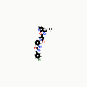 O=C(O)CC(NC(=O)C1CC(=O)N(c2cccc(NC(=O)NCc3ccc(Cl)cc3)c2)C1)c1cccnc1